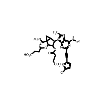 CCCNc1nc(C#Cc2ccc(Cl)s2)nc2c1nc(C(F)(F)F)n2C1C(OC(=O)CCC(=O)O)C(OC(=O)CCC(=O)O)C2(C(=O)NC)CC12